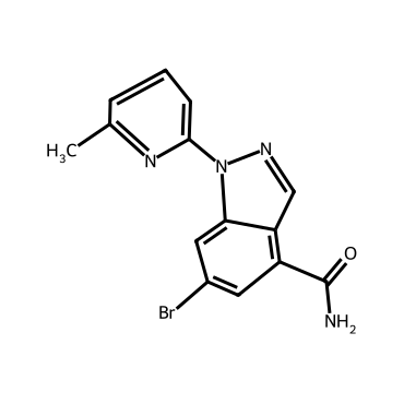 Cc1cccc(-n2ncc3c(C(N)=O)cc(Br)cc32)n1